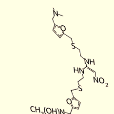 CN(C)Cc1ccc(CSCCNC(=C[N+](=O)[O-])NCCSCc2ccc(CN(C)O)o2)o1